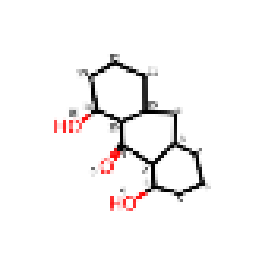 O=C1C2C(O)CCCC2CC2CCCC(O)C12